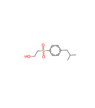 CC(C)Cc1ccc(S(=O)(=O)CCO)cc1